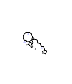 C=CC12C(C/C=C\CC/C=C\C1(C)C(C)N)C2CCC/C=C/C1=NCC1